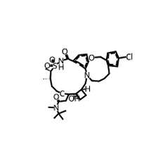 C[C@@H]1[C@@H](C)CCC[C@](O)(CC(=O)N(C)C(C)(C)C)[C@@H]2CC[C@H]2CN2CCCCc3cc(Cl)ccc3COc3ccc(cc32)C(=O)NS1(=O)=O